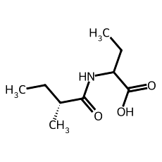 CCC(NC(=O)[C@H](C)CC)C(=O)O